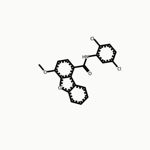 COc1ccc(C(=O)Nc2cc(Cl)ccc2Cl)c2c1oc1ccccc12